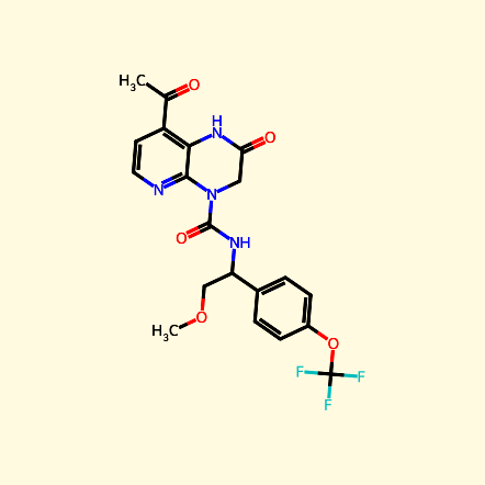 COCC(NC(=O)N1CC(=O)Nc2c(C(C)=O)ccnc21)c1ccc(OC(F)(F)F)cc1